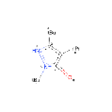 CCCc1c(C(C)(C)C)[nH]n(C(C)(C)C)c1=O